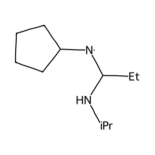 CCC([N]C1CCCC1)NC(C)C